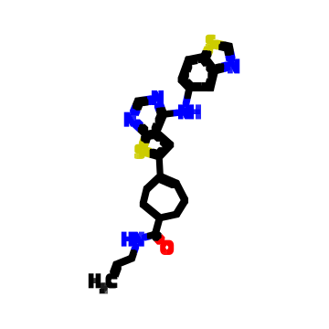 C=CCNC(=O)C1CCC=C(c2cc3c(Nc4ccc5scnc5c4)ncnc3s2)CC1